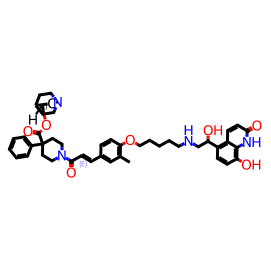 Cc1cc(/C=C/C(=O)N2CCC(C(=O)O[C@H]3CN4CCC3CC4)(c3ccccc3)CC2)ccc1OCCCCCNCC(O)c1ccc(O)c2[nH]c(=O)ccc12